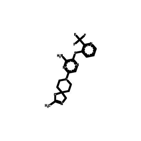 CC1=NCC2(CCN(c3cnc(Sc4cccnc4C(F)(F)F)c(N)n3)CC2)O1